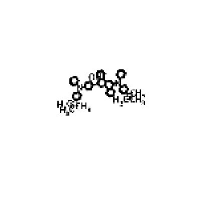 C[Si](C)(C)c1ccc(N(c2ccccc2)c2ccc(-c3cc4c5ccccc5c(N(c5ccccc5)c5ccc([Si](C)(C)C)cc5)cc4c4ccccc34)c(O)c2)cc1